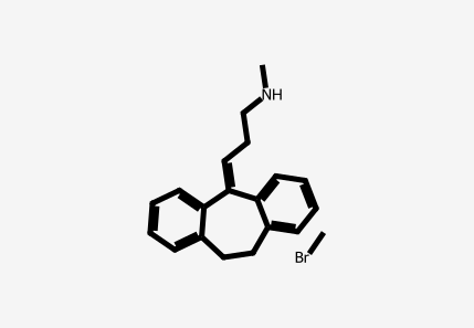 CBr.CNCCC=C1c2ccccc2CCc2ccccc21